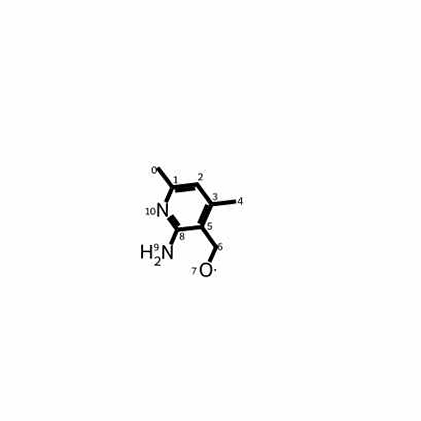 Cc1cc(C)c(C[O])c(N)n1